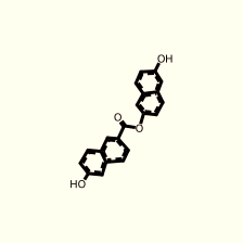 O=C(Oc1ccc2cc(O)ccc2c1)c1ccc2cc(O)ccc2c1